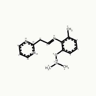 Cc1cccc(O[SiH](C)C)c1N=CCc1ncccn1